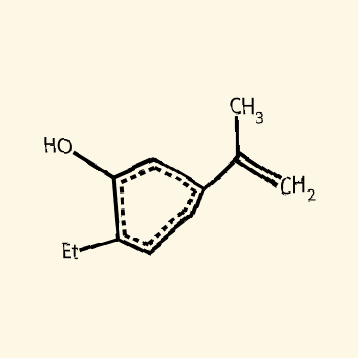 C=C(C)c1ccc(CC)c(O)c1